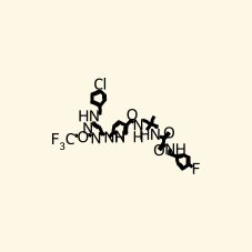 CC(C)(CNC(=O)C(=O)NCc1ccc(F)cc1)CNC(=O)c1ccc(Nc2cc(NCc3ccc(Cl)cc3)nc(OCC(F)(F)F)n2)nc1